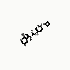 O=C(Nc1ccc(OC2CCC2)nc1)Nc1c[nH]c2ncc(F)cc12